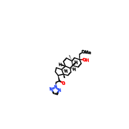 COC[C@]1(O)CC[C@@H]2[C@H]3CC[C@]4(C)[C@@H](C(=O)Cn5nccn5)CC[C@H]4[C@@H]3CC[C@@]2(C)C1